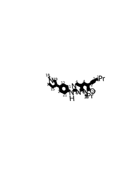 CC(C)C#Cc1cc2cnc(Nc3ccc(C4CCN(C)C4)cc3)nc2n(C(C)C)c1=O